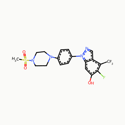 CS(=O)(=O)N1CCN(c2ccc(-n3ncc4c(C(F)(F)F)c(F)c(O)cc43)cc2)CC1